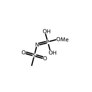 COP(O)(O)=NS(C)(=O)=O